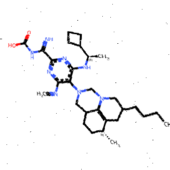 C=Nc1nc(C(=N)NC(=O)O)nc(N[C@H](C)C2CCC2)c1N1CC2CC[C@@H](C)C3=C2N(CC(CCCC)C3)C1